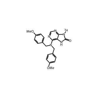 [2H]n1c(=O)[nH]c2c(N(Cc3ccc(OC)cc3)Cc3ccc(OC)cc3)ncnc21